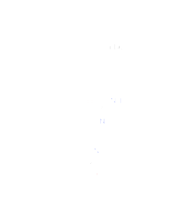 CCCCc1ccc(NC(=O)N2CCCN(C(=O)C3CCCC3)CC2)cc1